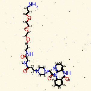 CN(CC(=O)NCCCOCCOCCOCCCN)C(=O)CCN1CCN(CC(=O)N2c3ccccc3C(=O)Nc3cccnc32)CC1